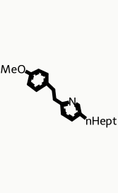 CCCCCCCc1ccc(CCc2ccc(OC)cc2)nc1